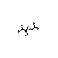 O=C(OCC(F)F)C(F)F